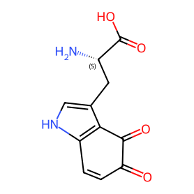 N[C@@H](Cc1c[nH]c2c1C(=O)C(=O)C=C2)C(=O)O